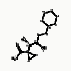 NC(=O)C1([C@H](O)[C@H](O)[CH]CC2CCCCC2)CC1